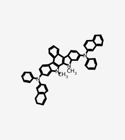 CN1c2c(c3ccccc3c3c4ccc(N(c5ccccc5)c5ccc6c(c5)CCC=C6)cc4n(C)c23)C2C=CC(N(c3ccccc3)c3ccc4ccccc4c3)=CC21